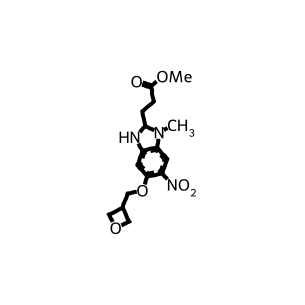 COC(=O)CCC1Nc2cc(OCC3COC3)c([N+](=O)[O-])cc2N1C